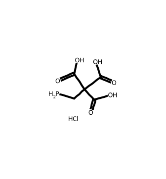 Cl.O=C(O)C(CP)(C(=O)O)C(=O)O